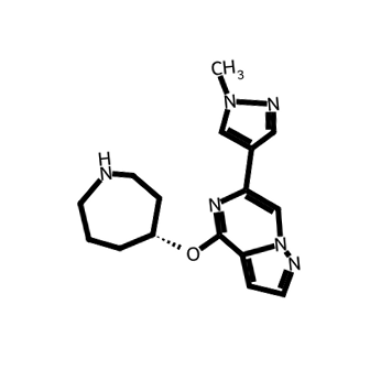 Cn1cc(-c2cn3nccc3c(O[C@@H]3CCCNCC3)n2)cn1